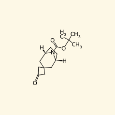 CC(C)(C)OC(=O)N1[C@@H]2CC[C@H]1CC1(CC(=O)C1)C2